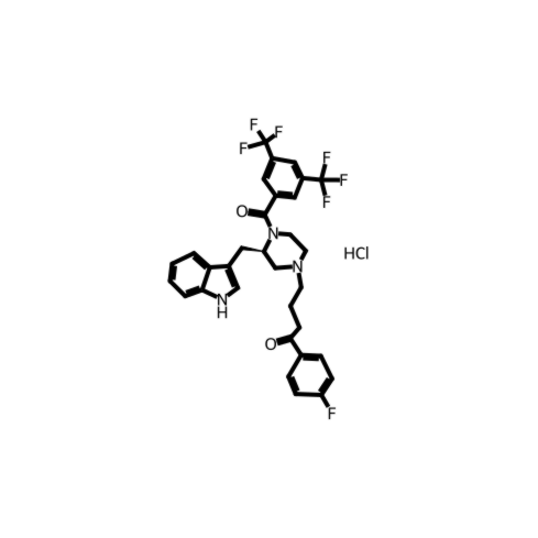 Cl.O=C(CCCN1CCN(C(=O)c2cc(C(F)(F)F)cc(C(F)(F)F)c2)[C@H](Cc2c[nH]c3ccccc23)C1)c1ccc(F)cc1